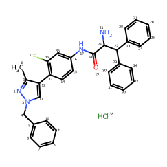 Cc1nn(Cc2ccccc2)cc1-c1ccc(NC(=O)C(N)C(c2ccccc2)c2ccccc2)cc1F.Cl